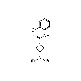 CC(C)N(C(C)C)C1CN(C(=O)Nc2ccccc2Cl)C1